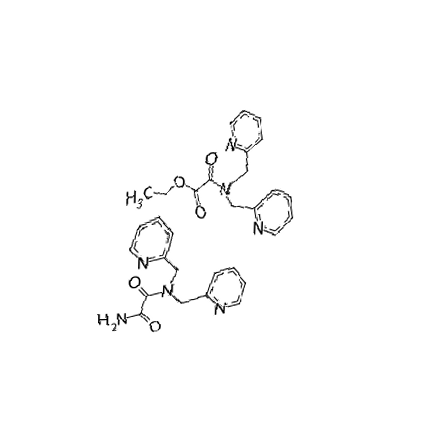 CCOC(=O)C(=O)N(Cc1ccccn1)Cc1ccccn1.NC(=O)C(=O)N(Cc1ccccn1)Cc1ccccn1